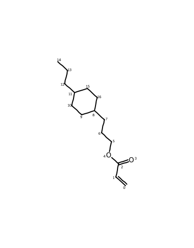 C=CC(=O)OCCCC1CCC(CCC)CC1